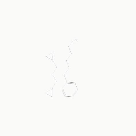 C(OCC1CO1)C1CO1.CCCCCCc1ccccc1